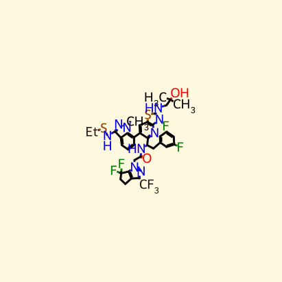 CCSNc1nn(C)c2c(-c3cc4sc(NCC(C)(C)O)nc4nc3C(Cc3cc(F)cc(F)c3)NC(=O)Cn3nc(C(F)(F)F)c4c3C(F)(F)CC4)cccc12